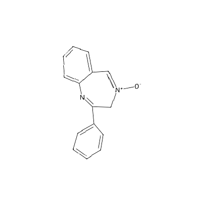 [O-][N+]1=Cc2ccccc2N=C(c2ccccc2)C1